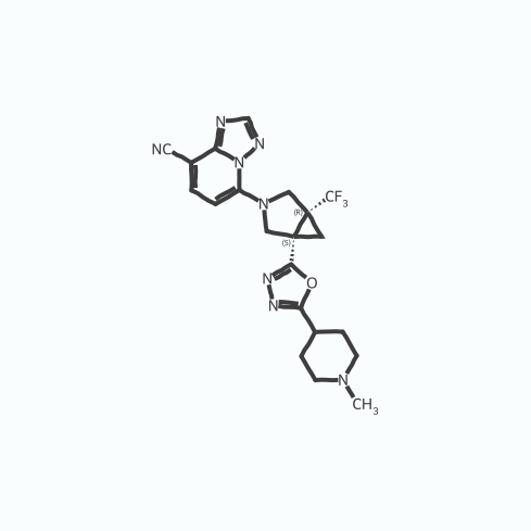 CN1CCC(c2nnc([C@]34CN(c5ccc(C#N)c6ncnn56)C[C@@]3(C(F)(F)F)C4)o2)CC1